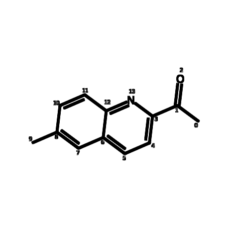 CC(=O)c1ccc2cc(C)ccc2n1